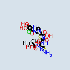 CC(C)[C@H](O/N=C(\C(=O)N[C@@H]1C(=O)N2C(C(=O)O)=C(C[N+]3(CCNC(=O)c4ccc(O)c(O)c4Cl)CCCC3)CS[C@H]12)c1csc(N)n1)C(=O)O